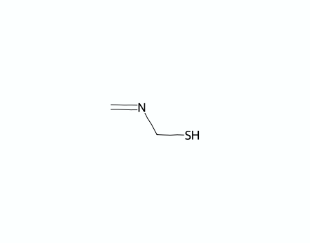 C=NCS